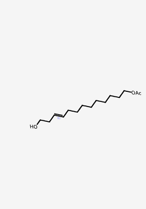 CC(=O)OCCCCCCCCC/C=C/CCO